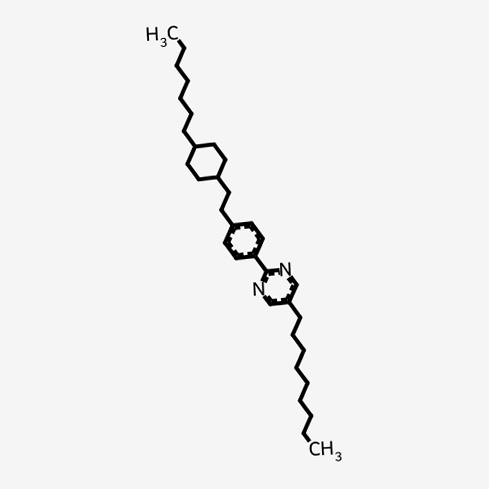 CCCCCCCCCc1cnc(-c2ccc(CCC3CCC(CCCCCCC)CC3)cc2)nc1